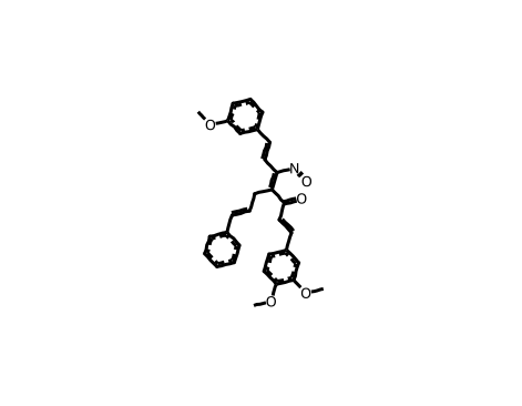 COc1cccc(/C=C/C(N=O)=C(\C/C=C/c2ccccc2)C(=O)/C=C/c2ccc(OC)c(OC)c2)c1